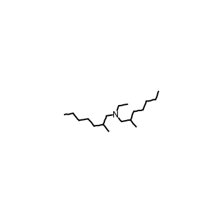 CCCCCC(C)CN(CC)CC(C)CCCCC